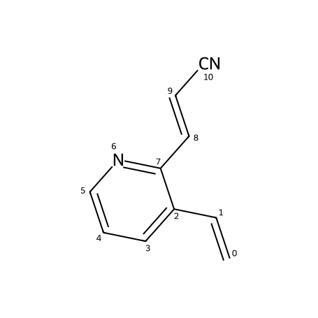 C=Cc1cccnc1C=CC#N